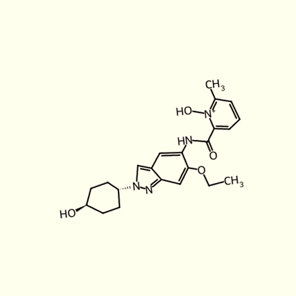 CCOc1cc2nn([C@H]3CC[C@H](O)CC3)cc2cc1NC(=O)c1cccc(C)[n+]1O